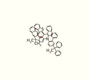 CC1(C)c2ccc(N(c3ccc(C(C)(c4ccccc4)c4ccccc4)cc3-c3ccccc3)c3ccc4ccccc4c3-c3cccc4c3sc3ccccc34)cc2-c2cc3ccccc3cc21